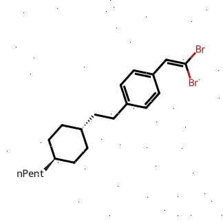 CCCCC[C@H]1CC[C@H](CCc2ccc(C=C(Br)Br)cc2)CC1